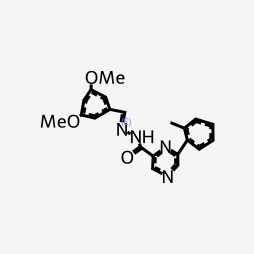 COc1cc(/C=N/NC(=O)c2cncc(-c3ccccc3C)n2)cc(OC)c1